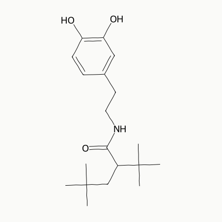 CC(C)(C)CC(C(=O)NCCc1ccc(O)c(O)c1)C(C)(C)C